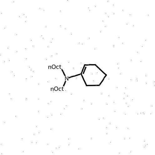 CCCCCCCCN(CCCCCCCC)C1=CCCCC1